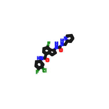 O=C(NCc1ccccn1)NC1CCc2c(C(=O)Nc3ccc(F)c(Cl)c3)ccc(F)c21